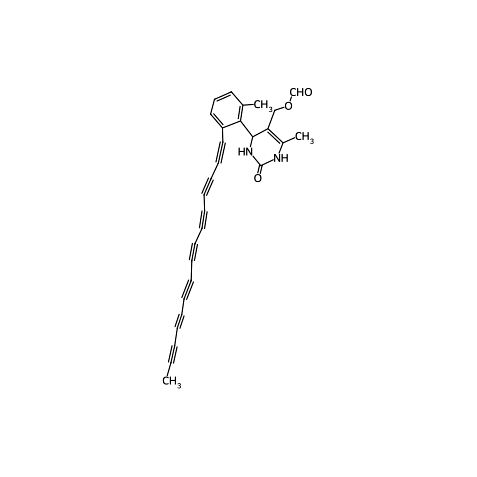 CC#CC#CC#CC#CC#CC#CC#Cc1cccc(C)c1C1NC(=O)NC(C)=C1COC=O